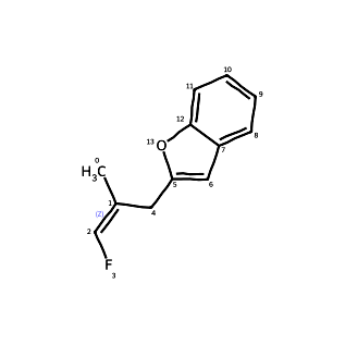 C/C(=C/F)Cc1cc2ccccc2o1